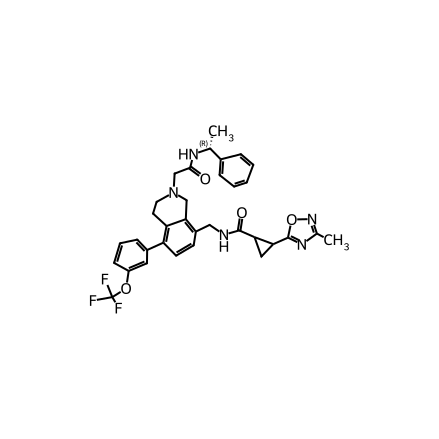 Cc1noc(C2CC2C(=O)NCc2ccc(-c3cccc(OC(F)(F)F)c3)c3c2CN(CC(=O)N[C@H](C)c2ccccc2)CC3)n1